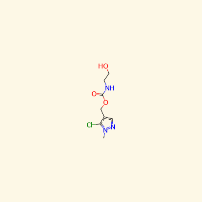 Cn1ncc(COC(=O)NCCO)c1Cl